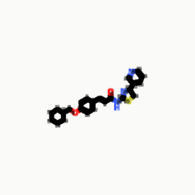 O=C(/C=C/c1ccc(OCC2CCCCC2)cc1)NC1=NC(c2cccnc2)CS1